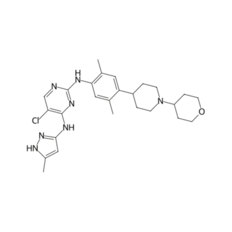 Cc1cc(Nc2nc(Nc3cc(C)c(C4CCN(C5CCOCC5)CC4)cc3C)ncc2Cl)n[nH]1